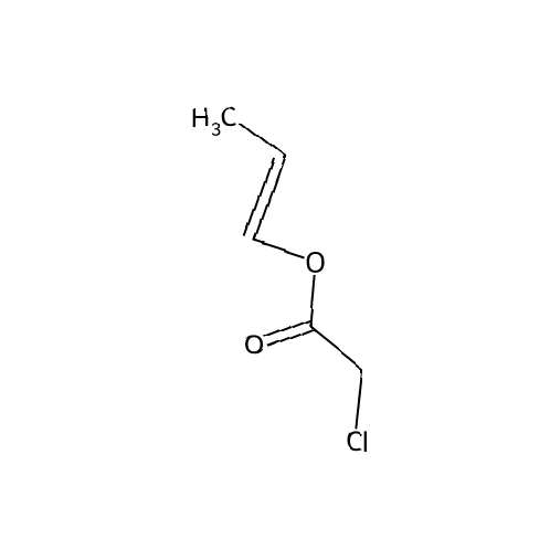 CC=COC(=O)CCl